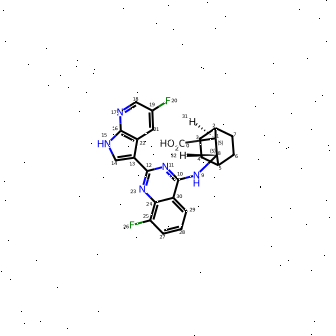 O=C(O)[C@H]1C2CCC(CC2)[C@@H]1Nc1nc(-c2c[nH]c3ncc(F)cc23)nc2c(F)cccc12